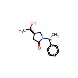 C/C(O)=C1\CC(=O)N([C@H](C)c2ccccc2)C1